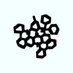 Cc1cc2c3c(c1)N(c1ccccc1-c1ccccc1)c1cc(C)cc4c1B3c1c(cc(C)cc1[Si]4(c1ccccc1)c1ccccc1)N2c1ccccc1-c1ccccc1